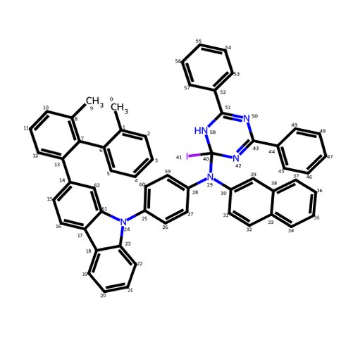 Cc1ccccc1-c1c(C)cccc1-c1ccc2c3ccccc3n(-c3ccc(N(c4ccc5ccccc5c4)C4(I)N=C(c5ccccc5)N=C(c5ccccc5)N4)cc3)c2c1